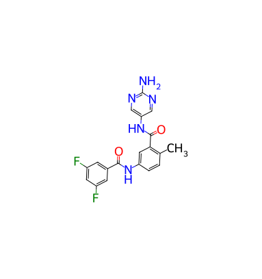 Cc1ccc(NC(=O)c2cc(F)cc(F)c2)cc1C(=O)Nc1cnc(N)nc1